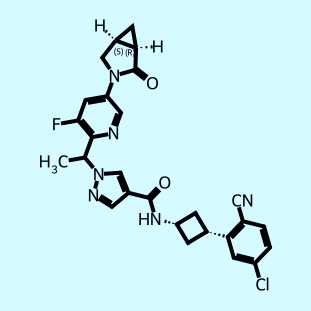 CC(c1ncc(N2C[C@H]3C[C@H]3C2=O)cc1F)n1cc(C(=O)N[C@H]2C[C@@H](c3cc(Cl)ccc3C#N)C2)cn1